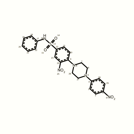 O=[N+]([O-])c1ccc(N2CCN(c3ccc(S(=O)(=O)Nc4ccccc4)cc3[N+](=O)[O-])CC2)cc1